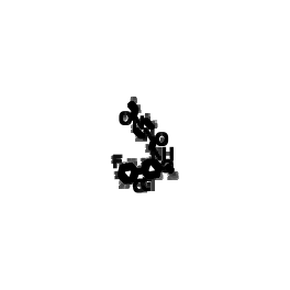 C=CC(=O)N1CCN(C(=O)CNc2cc(-c3cc(F)ccc3Cl)c(Cl)cc2OC)CC1